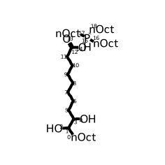 CCCCCCCCC(O)C(O)CCCCCCCC(=O)O[PH](CCCCCCCC)(CCCCCCCC)CCCCCCCC